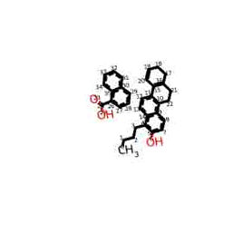 CCCCc1c(O)ccc2c3c(ccc12)C1=C(CCC=C1)CC3.O=C(O)c1cccc2ccccc12